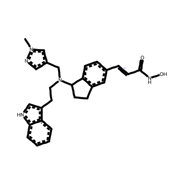 Cn1cc(CN(CCc2c[nH]c3ccccc23)C2CCc3cc(/C=C/C(=O)NO)ccc32)cn1